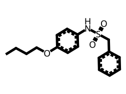 CCCCOc1ccc(NS(=O)(=O)Cc2ccccc2)cc1